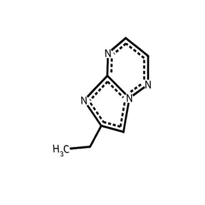 CCc1cn2nccnc2n1